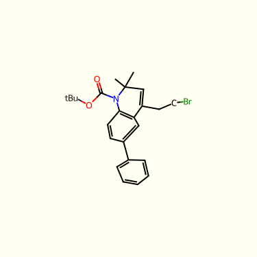 CC(C)(C)OC(=O)N1c2ccc(-c3ccccc3)cc2C(CCBr)=CC1(C)C